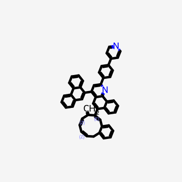 C=C1/C=C\C=C/Cc2ccccc2/C=C\1c1cc2c(-c3cc4ccccc4c4ccccc34)cc(-c3ccc(-c4ccncc4)cc3)nc2c2ccccc12